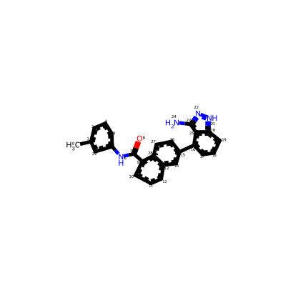 Cc1cccc(NC(=O)c2cccc3cc(-c4cccc5[nH]nc(N)c45)ccc23)c1